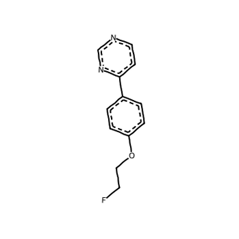 FCCOc1ccc(-c2ccncn2)cc1